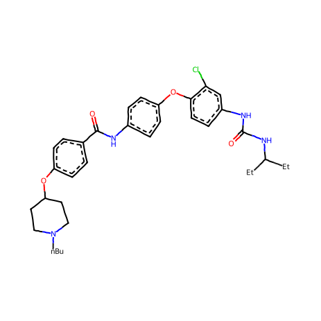 CCCCN1CCC(Oc2ccc(C(=O)Nc3ccc(Oc4ccc(NC(=O)NC(CC)CC)cc4Cl)cc3)cc2)CC1